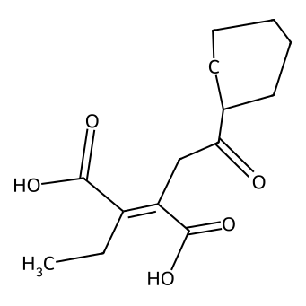 CCC(C(=O)O)=C(CC(=O)C1CCCCC1)C(=O)O